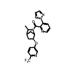 CC1C2CC([C@@H](Oc3ccc(C(F)(F)F)nc3)C2)N1C(=O)c1ncccc1-n1nccn1